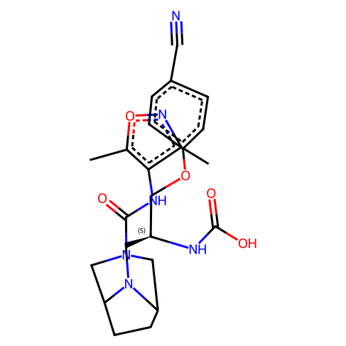 Cc1noc(C)c1NC(=O)N1CC2CCC(C1)N2C[C@@H](COc1ccc(C#N)cc1)NC(=O)O